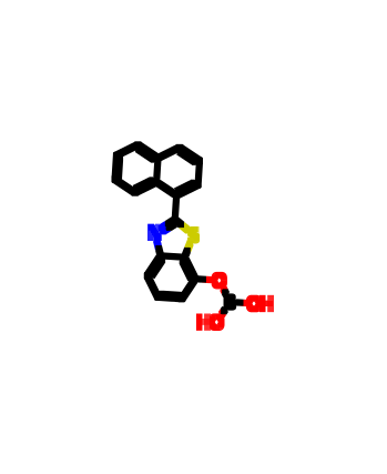 OB(O)Oc1cccc2nc(-c3cccc4ccccc34)sc12